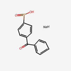 O=C(c1ccccc1)c1ccc(S(=O)O)cc1.[NaH]